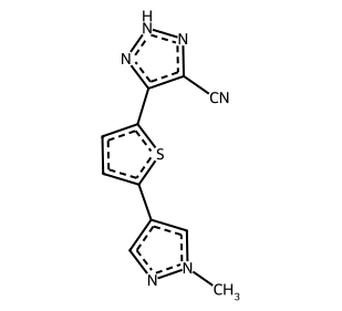 Cn1cc(-c2ccc(-c3n[nH]nc3C#N)s2)cn1